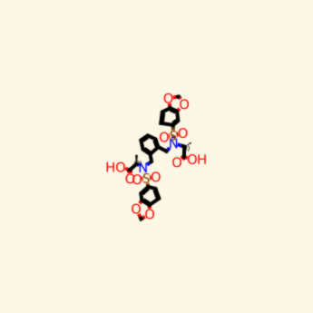 C[C@H](C(=O)O)N(Cc1ccccc1CN([C@H](C)C(=O)O)S(=O)(=O)c1ccc2c(c1)OCO2)S(=O)(=O)c1ccc2c(c1)OCO2